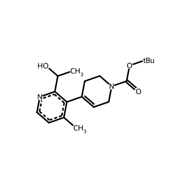 Cc1ccnc(C(C)O)c1C1=CCN(C(=O)OC(C)(C)C)CC1